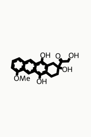 COc1cccc2cc3c(O)c4c(c(O)c3cc12)CCC(O)(C(=O)CO)C4